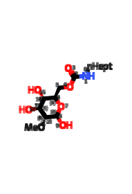 CCCCCCCNC(=O)OC[C@H]1O[C@@H](O)[C@H](OC)[C@@H](O)[C@@H]1O